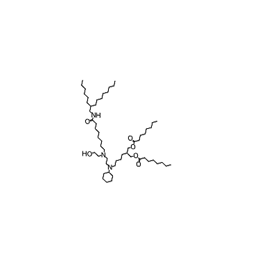 CCCCCCCCC(CCCCCC)CNC(=O)CCCCCCCN(CCO)CCN(CCCCC(COC(=O)CCCCCCC)COC(=O)CCCCCCC)C1CCCCC1